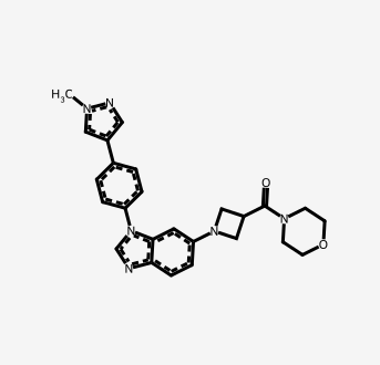 Cn1cc(-c2ccc(-n3cnc4ccc(N5CC(C(=O)N6CCOCC6)C5)cc43)cc2)cn1